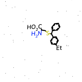 CCc1ccc(C(SCC(N)C(=O)O)c2ccccc2)cc1